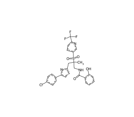 CC(CNC(=O)c1ccccc1O)(Cc1nc(-c2ccc(Cl)cc2)cs1)S(=O)(=O)c1ccc(C(F)(F)F)nc1